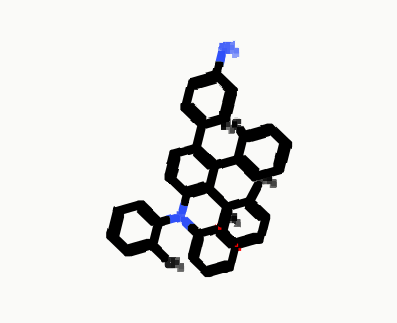 Cc1ccccc1-c1c(-c2ccc(N)cc2)ccc(N(c2ccccc2C)c2ccccc2C)c1-c1ccccc1C